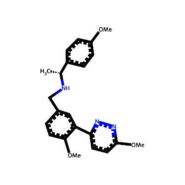 COc1ccc([C@@H](C)NCc2ccc(OC)c(-c3ccc(OC)nn3)c2)cc1